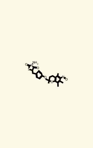 Cc1c(C)c2c(c(C)c1N=O)CCC(C)(COc1ccc(CC3SC(=O)N(N)C3=O)cc1)O2